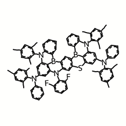 Cc1cc(C)c(N(c2ccccc2)c2cc3c4c(c2)N(c2c(C)cc(C)cc2C)c2ccccc2B4c2cc4c(cc2S3)N(c2c(F)cccc2F)c2cc(N(c3ccccc3)c3c(C)cc(C)cc3C)cc3c2B4c2ccccc2N3c2c(C)cc(C)cc2C)c(C)c1